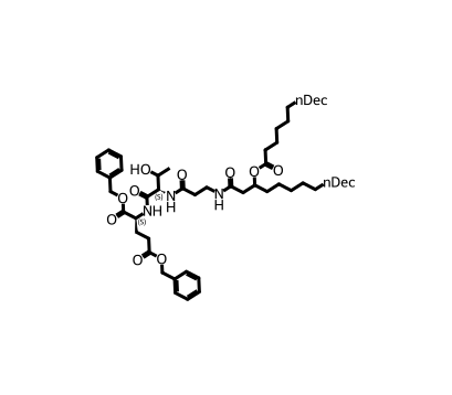 CCCCCCCCCCCCCCCC(=O)OC(CCCCCCCCCCCCCCC)CC(=O)NCCC(=O)N[C@H](C(=O)N[C@@H](CCC(=O)OCc1ccccc1)C(=O)OCc1ccccc1)C(C)O